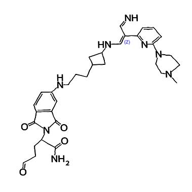 CN1CCN(c2cccc(/C(C=N)=C/NC3CC(CCCNc4ccc5c(c4)C(=O)N(C(CCC=O)C(N)=O)C5=O)C3)n2)CC1